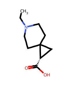 CCN1CCC2(CC1)C[C@@H]2C(=O)O